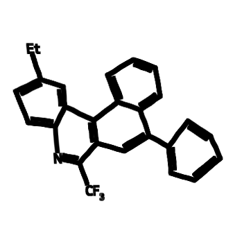 CCc1ccc2nc(C(F)(F)F)c3cc(-c4ccccc4)c4ccccc4c3c2c1